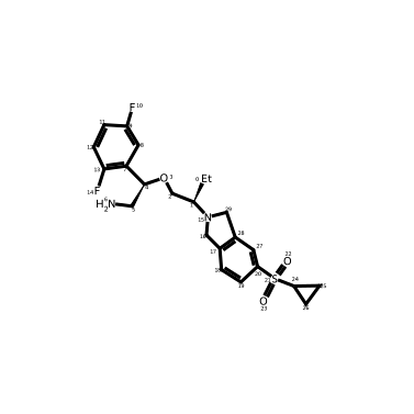 CC[C@H](CO[C@@H](CN)c1cc(F)ccc1F)N1Cc2ccc(S(=O)(=O)C3CC3)cc2C1